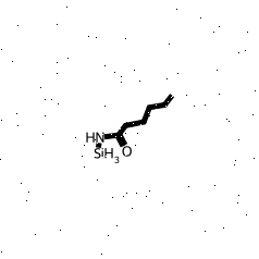 CCCCCC(=O)N[SiH3]